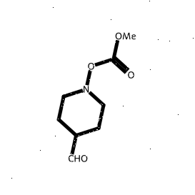 COC(=O)ON1CCC(C=O)CC1